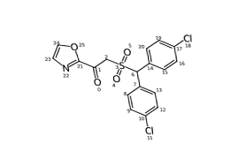 O=C(CS(=O)(=O)C(c1ccc(Cl)cc1)c1ccc(Cl)cc1)c1ncco1